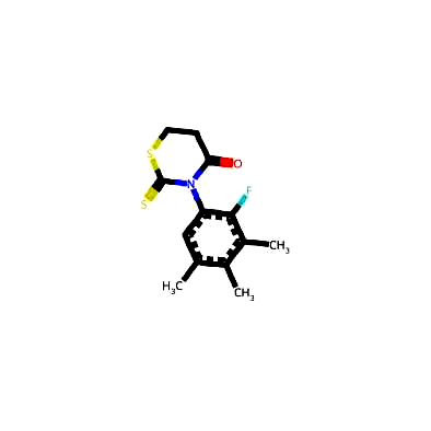 Cc1cc(N2C(=O)CCSC2=S)c(F)c(C)c1C